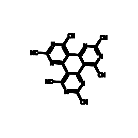 N#Cc1nc(C#N)c2c(n1)c1c(C#N)nc(C#N)nc1c1c(C#N)nc(C#N)nc21